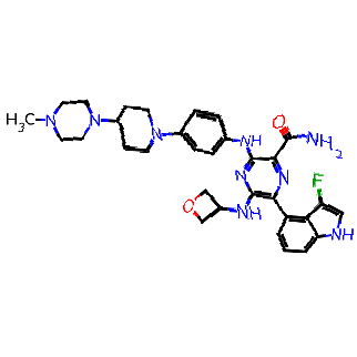 CN1CCN(C2CCN(c3ccc(Nc4nc(NC5COC5)c(-c5cccc6[nH]cc(F)c56)nc4C(N)=O)cc3)CC2)CC1